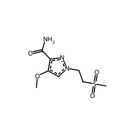 COc1cn(CCS(C)(=O)=O)nc1C(N)=O